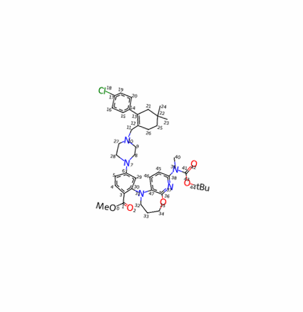 COC(=O)c1ccc(N2CCN(CC3=C(c4ccc(Cl)cc4)CC(C)(C)CC3)CC2)cc1N1CCCOc2nc(N(C)C(=O)OC(C)(C)C)ccc21